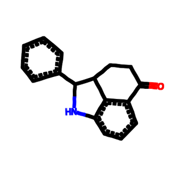 O=C1CCC2c3c(cccc31)NC2c1ccccc1